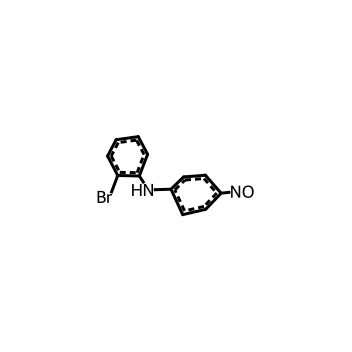 O=Nc1ccc(Nc2ccccc2Br)cc1